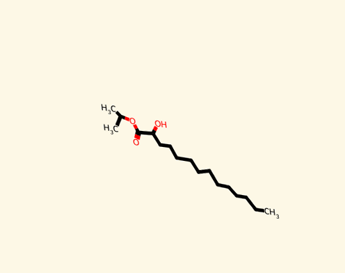 CCCCCCCCCCCCC(O)C(=O)OC(C)C